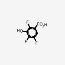 O=C(O)c1cc(F)c(F)c(O)c1F